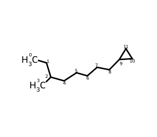 CCC(C)CCCCCC1CC1